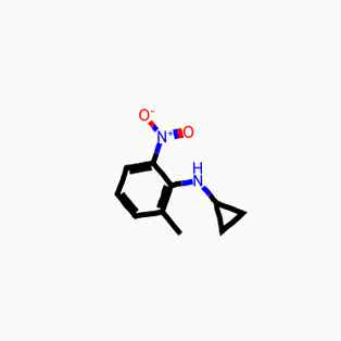 Cc1cccc([N+](=O)[O-])c1NC1CC1